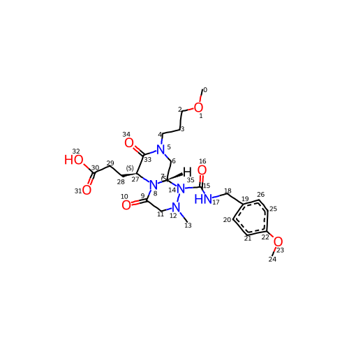 COCCCN1C[C@H]2N(C(=O)CN(C)N2C(=O)NCc2ccc(OC)cc2)[C@@H](CCC(=O)O)C1=O